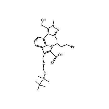 Cc1nn(C)c(CO)c1-c1cccc2c(CCCO[Si](C)(C)C(C)(C)C)c(C(=O)O)n(CCCBr)c12